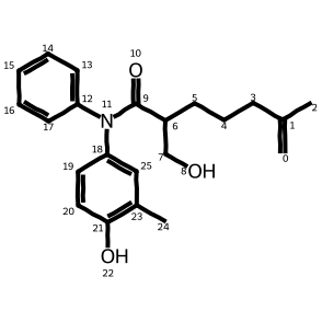 C=C(C)CCCC(CO)C(=O)N(c1ccccc1)c1ccc(O)c(C)c1